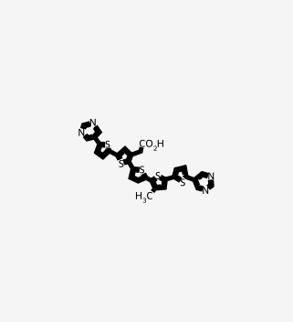 Cc1cc(-c2ccc(-c3cncnc3)s2)sc1-c1ccc(-c2sc(-c3ccc(-c4cncnc4)s3)cc2CC(=O)O)s1